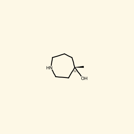 C[C@]1(O)CCCNCC1